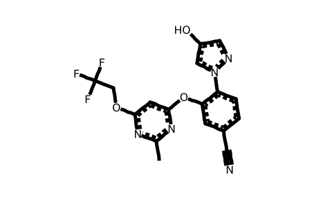 Cc1nc(OCC(F)(F)F)cc(Oc2cc(C#N)ccc2-n2cc(O)cn2)n1